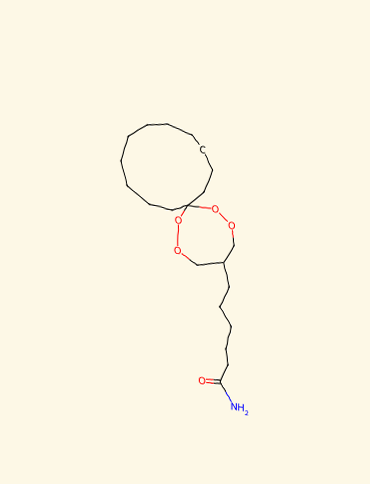 NC(=O)CCCCCC1COOC2(CCCCCCCCCCC2)OOC1